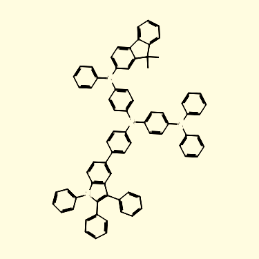 CC1(C)c2ccccc2-c2ccc(N(c3ccccc3)c3ccc(N(c4ccc(-c5ccc6c(c5)c(-c5ccccc5)c(-c5ccccc5)n6-c5ccccc5)cc4)c4ccc(N(c5ccccc5)c5ccccc5)cc4)cc3)cc21